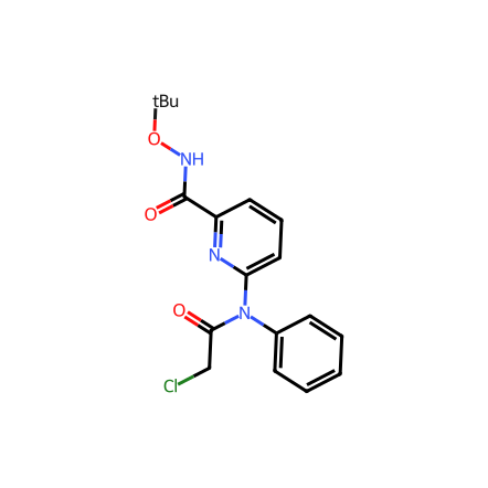 CC(C)(C)ONC(=O)c1cccc(N(C(=O)CCl)c2ccccc2)n1